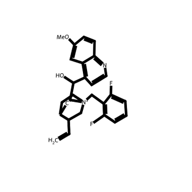 C=CC1C[N+]2(Cc3c(F)cccc3F)CCC1CC2C(O)c1ccnc2ccc(OC)cc12